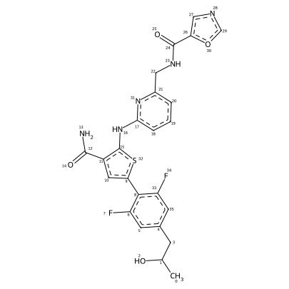 CC(O)Cc1cc(F)c(-c2cc(C(N)=O)c(Nc3cccc(CNC(=O)c4cnco4)n3)s2)c(F)c1